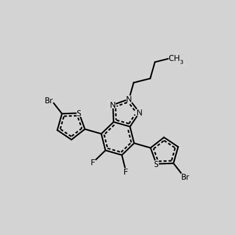 CCCCn1nc2c(-c3ccc(Br)s3)c(F)c(F)c(-c3ccc(Br)s3)c2n1